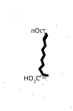 CCCCCCCCC=CCCCCCC[C@H](C)C(=O)O